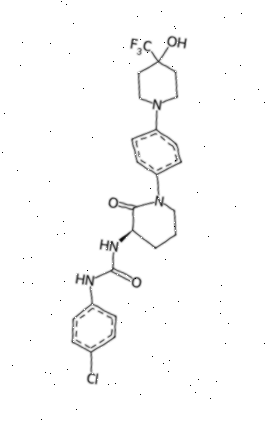 O=C(Nc1ccc(Cl)cc1)N[C@@H]1CCCN(c2ccc(N3CCC(O)(C(F)(F)F)CC3)cc2)C1=O